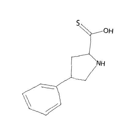 OC(=S)C1CC(c2ccccc2)CN1